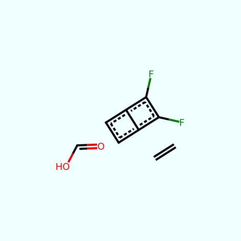 C=C.Fc1c2ccc-2c1F.O=CO